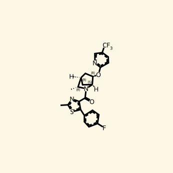 Cc1nc(C(=O)N2[C@H](C)[C@H]3C[C@@H](Oc4ccc(C(F)(F)F)cn4)[C@@H]2C3)c(-c2ccc(F)cc2)s1